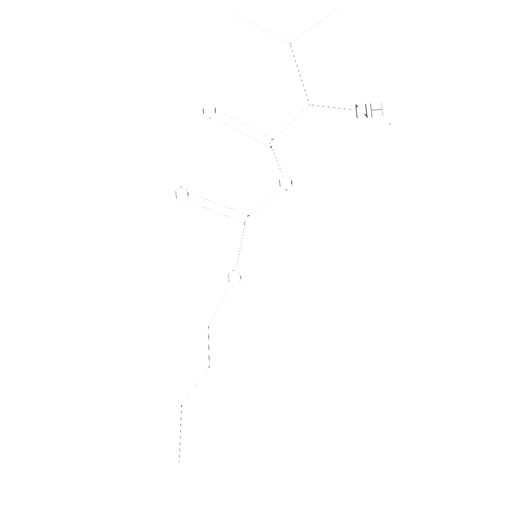 CCCCOC(=O)OC(=O)C(N)C(C)C